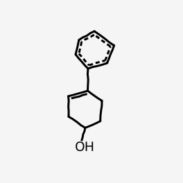 OC1CC=C(c2ccccc2)CC1